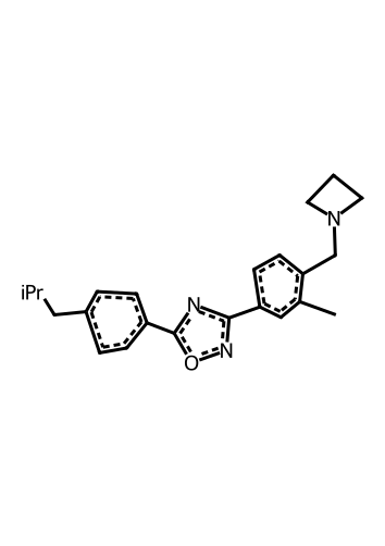 Cc1cc(-c2noc(-c3ccc(CC(C)C)cc3)n2)ccc1CN1CCC1